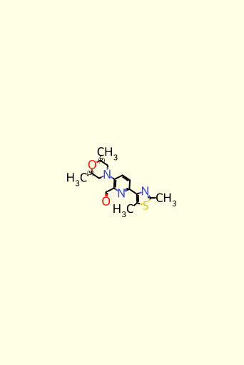 Cc1nc(-c2ccc(N3C[C@@H](C)O[C@@H](C)C3)c(C=O)n2)c(C)s1